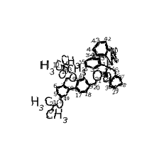 CC(C)Oc1ccc(C(=O)OC(C)(C)C)c(-c2ccc(COC(=O)C(Cc3cc[c]cc3)(c3ccccc3)n3nnc4ccccc43)cc2)c1